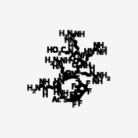 CC(=O)C1N[C@@H](CCCNC(=N)N)C(=O)N[C@@H](CCCNC(=N)N)C(=O)C(N[C@@H](CCCNC(=N)N)C(=O)N[C@@H](CCCNC(=N)N)C(=O)N[C@@H](CCCNC(=N)N)C(=O)NCC(=O)O)Sc2c(F)c(F)c(c(F)c2F)-c2c(F)c(F)c(c(F)c2F)S1